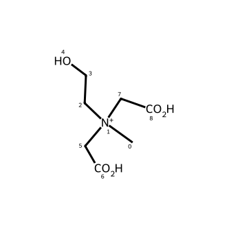 C[N+](CCO)(CC(=O)O)CC(=O)O